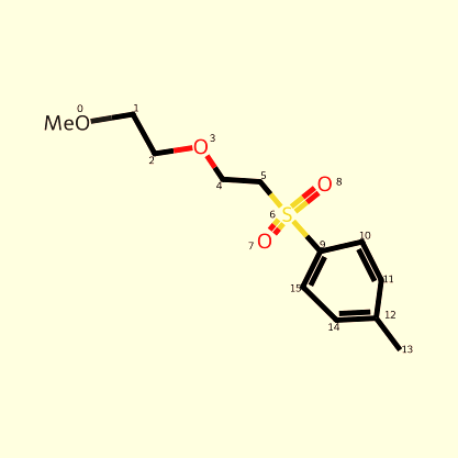 COCCOCCS(=O)(=O)c1ccc(C)cc1